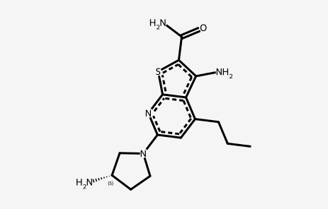 CCCc1cc(N2CC[C@H](N)C2)nc2sc(C(N)=O)c(N)c12